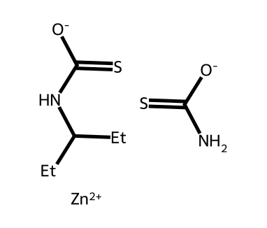 CCC(CC)NC([O-])=S.NC([O-])=S.[Zn+2]